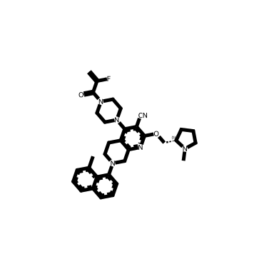 C=C(F)C(=O)N1CCN(c2c(C#N)c(OC[C@@H]3CCCN3C)nc3c2CCN(c2cccc4cccc(C)c24)C3)CC1